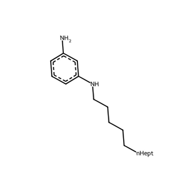 CCCCCCCCCCCCNc1cccc(N)c1